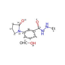 CCNNC(=O)c1cccc(N2CCCC2=O)c1.O=CO